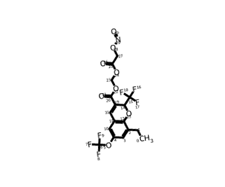 CCc1cc(OC(F)(F)F)cc2c1OC(C(F)(F)F)C(C(=O)OCOC(=O)CON=O)=C2